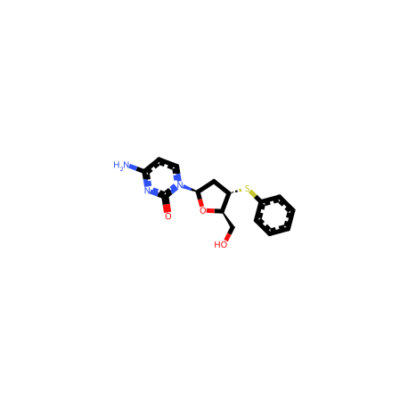 Nc1ccn([C@H]2C[C@H](Sc3ccccc3)[C@@H](CO)O2)c(=O)n1